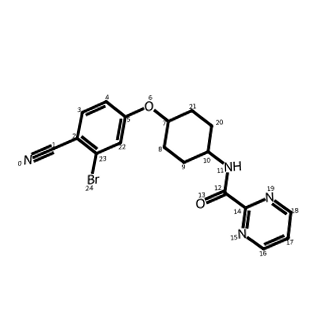 N#Cc1ccc(OC2CCC(NC(=O)c3ncccn3)CC2)cc1Br